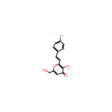 O=c1cc(CO)oc(C=Cc2ccc(F)cc2)c1O